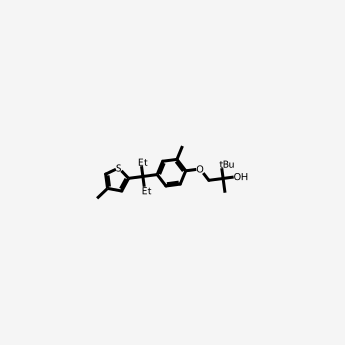 CCC(CC)(c1ccc(OCC(C)(O)C(C)(C)C)c(C)c1)c1cc(C)cs1